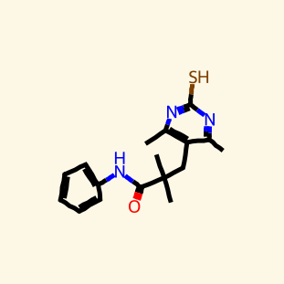 Cc1nc(S)nc(C)c1CC(C)(C)C(=O)Nc1ccccc1